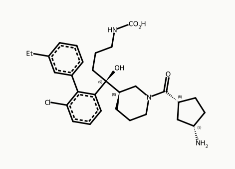 CCc1cccc(-c2c(Cl)cccc2[C@](O)(CCCNC(=O)O)[C@@H]2CCCN(C(=O)[C@@H]3CC[C@H](N)C3)C2)c1